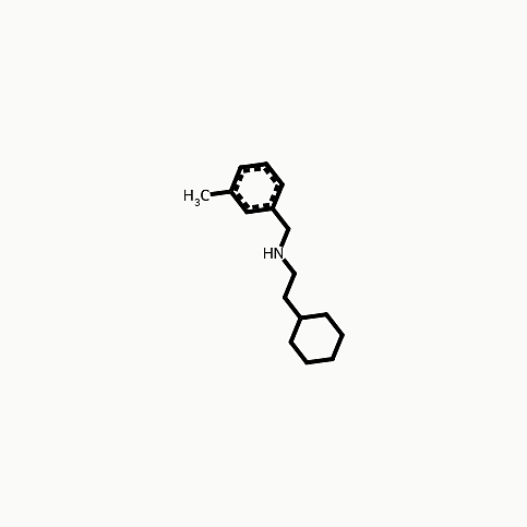 Cc1cccc(CNCCC2CCCCC2)c1